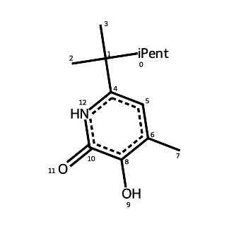 CCCC(C)C(C)(C)c1cc(C)c(O)c(=O)[nH]1